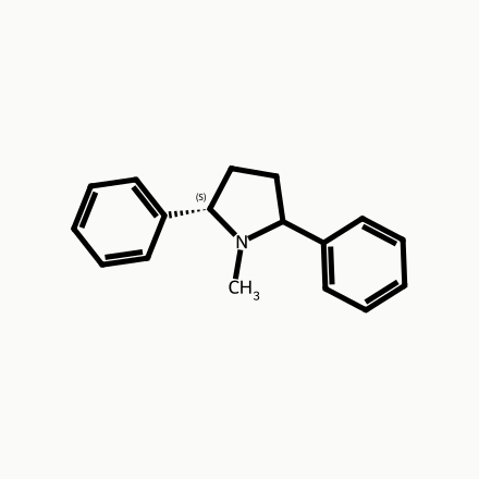 CN1C(c2ccccc2)CC[C@H]1c1ccccc1